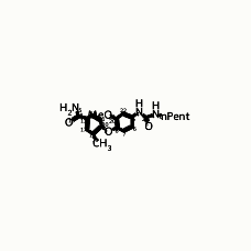 CCCCCNC(=O)Nc1ccc(Oc2ccc(C(N)=O)cc2C)c(OC)c1